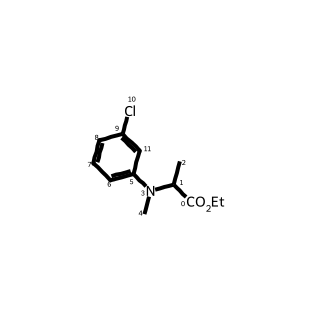 CCOC(=O)C(C)N(C)c1cccc(Cl)c1